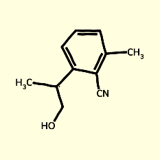 C[C](CO)c1cccc(C)c1C#N